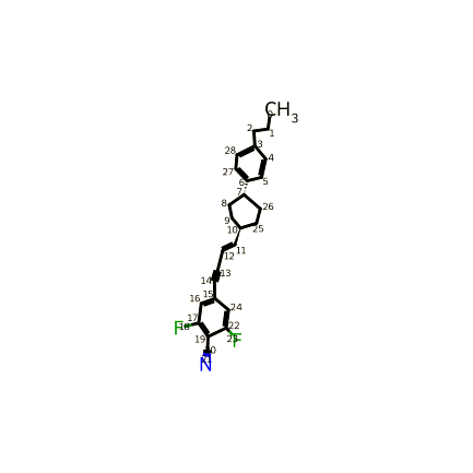 CCCc1ccc([C@H]2CC[C@H](/C=C/C#Cc3cc(F)c(C#N)c(F)c3)CC2)cc1